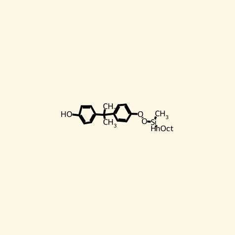 CCCCCCCC[SiH](C)OOc1ccc(C(C)(C)c2ccc(O)cc2)cc1